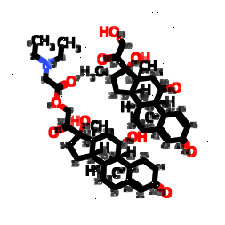 CCN(CC)CC(=O)OCC(=O)[C@@]1(O)CC[C@H]2[C@@H]3CCC4=CC(=O)CC[C@]4(C)[C@H]3[C@@H](O)C[C@@]21C.C[C@H]1C[C@H]2[C@@H]3CCC4=CC(=O)C=C[C@]4(C)[C@H]3C(=O)C[C@]2(C)[C@@]1(O)C(=O)CO